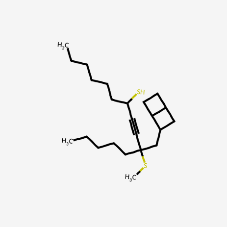 CCCCCCC(S)C#CC(CCCCC)(CC1CC2CCC21)SC